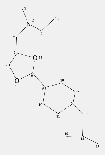 CCN(C)CC1COC(C2CCC(CC(C)C)CC2)O1